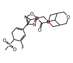 CC(C)OC(=O)N1CC2COCC(C1)C2OCc1nc(C2=CCC(S(C)(=O)=O)C(F)=C2)no1